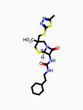 Cc1nnc(SCC2(C(=O)O)CS[C@@H]3C(NC(=O)NCCC4CCCCC4)C(=O)N3C2)s1